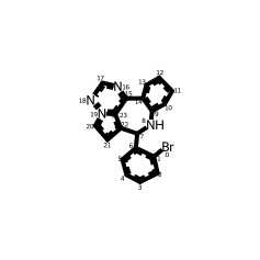 Brc1ccccc1C1Nc2ccccc2-c2ncnn3ccc1c23